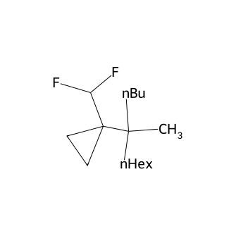 CCCCCCC(C)(CCCC)C1(C(F)F)CC1